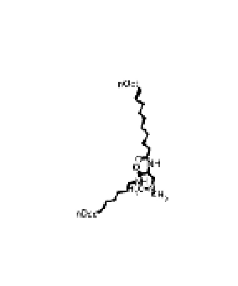 CCCCCCCC/C=C/CCCCCCCC(=O)NC(CN(C)C)C(=O)NCCCCCCCCCCCCCCCC